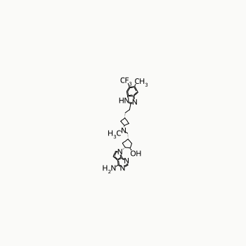 Cc1cc2nc(CC[C@H]3C[C@@H](N(C)C[C@@H]4C[C@@H](O)[C@H](n5ccc6c(N)ncnc65)C4)C3)[nH]c2cc1C(F)(F)F